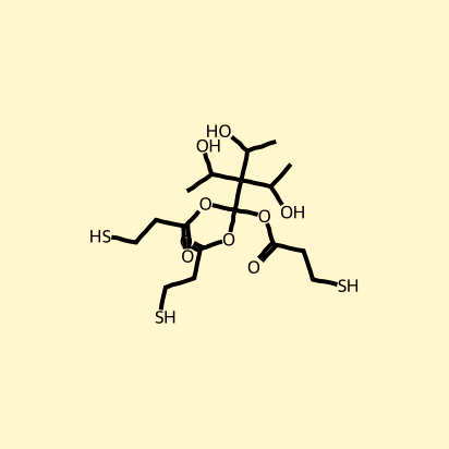 CC(O)C(C(C)O)(C(C)O)C(OC(=O)CCS)(OC(=O)CCS)OC(=O)CCS